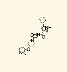 Cc1ncccc1OC1CCN(C(=O)CNC(=O)c2cc(-c3ccccc3)[nH]n2)CC1